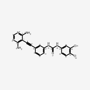 Nc1ncnc(N)c1C#Cc1cccc(NC(=O)Nc2ccc(Cl)c(Cl)c2)c1